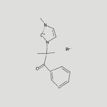 CN1[C+]N(C(C)(C)C(=O)c2ccccc2)C=C1.[Br-]